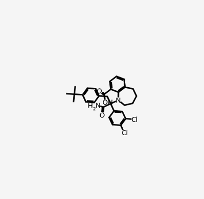 CC(C)(C)c1ccc(CC(C(N)=O)(c2ccc(Cl)c(Cl)c2)N2CCCCc3cccc(C(=O)O)c32)cc1